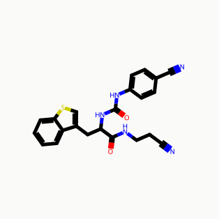 N#CCCNC(=O)C(Cc1csc2ccccc12)NC(=O)Nc1ccc(C#N)cc1